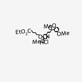 CCOC(=O)CCCCCOc1cc(C=CC(=O)c2cc(OC)ccc2OC)ncc1OC.Cl